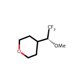 CO[C@H](C1CCOCC1)C(F)(F)F